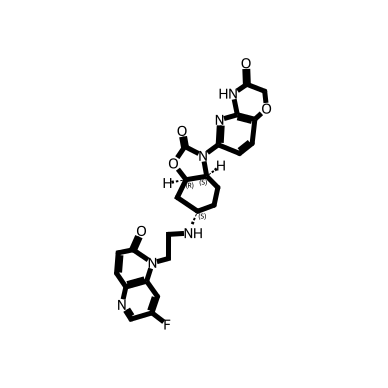 O=C1COc2ccc(N3C(=O)O[C@@H]4C[C@@H](NCCn5c(=O)ccc6ncc(F)cc65)CC[C@@H]43)nc2N1